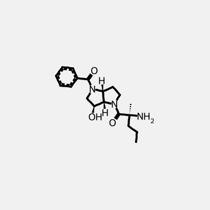 CCC[C@](C)(N)C(=O)N1CC[C@@H]2[C@H]1[C@@H](O)CN2C(=O)c1ccccc1